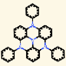 c1ccc(N2c3cccc4c3N3c5c2cccc5N(c2ccccc2)c2cccc(c23)N4c2ccccc2)cc1